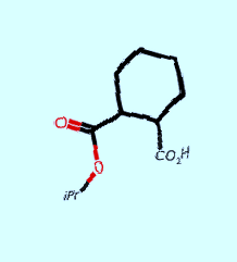 CC(C)OC(=O)C1CCCCC1C(=O)O